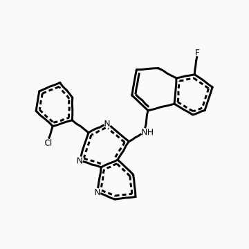 Fc1cccc2c1CC=C=C2Nc1nc(-c2ccccc2Cl)nc2ncccc12